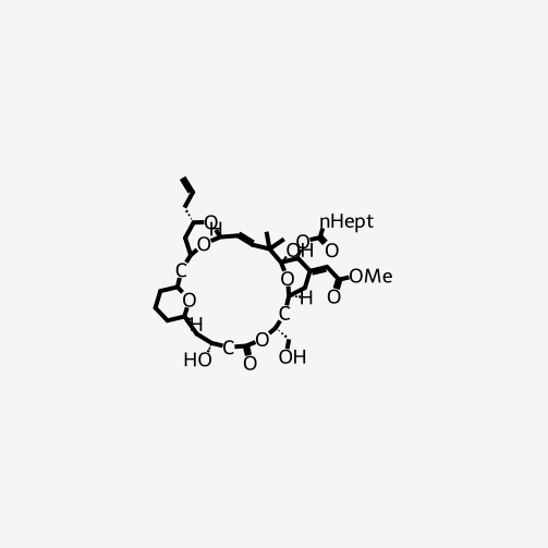 C=CC[C@H]1CC2CC3CCC[C@@H](C[C@@H](O)CC(=O)O[C@@H](CO)C[C@@H]4C/C(=C\C(=O)OC)[C@H](OC(=O)CCCCCCC)[C@@](O)(O4)C(C)(C)/C=C/[C@H](O2)O1)O3